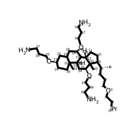 CC(C)CCOCCC[C@@H](C)C1CC[C@H]2C3[C@H](OCCCN)CC4C[C@H](OCCCN)CCC4(C)[C@H]3C[C@H](OCCCN)C12C